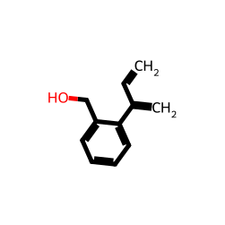 C=CC(=C)c1ccccc1CO